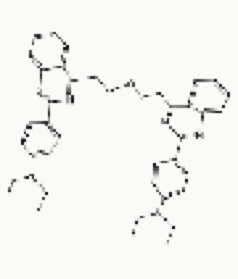 CCN(CC)c1ccc(-c2nc(CCOCCc3nc(-c4ccc(N(CC)CC)cc4)nc4ccccc34)c3ccccc3n2)cc1